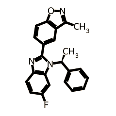 Cc1noc2ccc(-c3nc4ccc(F)cc4n3[C@@H](C)c3ccccc3)cc12